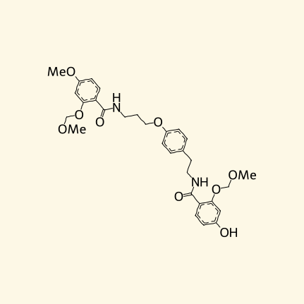 COCOc1cc(OC)ccc1C(=O)NCCCOc1ccc(CCNC(=O)c2ccc(O)cc2OCOC)cc1